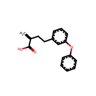 C=C(CCc1cccc(Oc2ccccc2)c1)C(=O)O